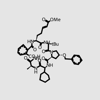 COC(=O)/C=C/CC[C@H](NC(=O)c1ccccc1C(=O)O)C(=O)N[C@H](C(=O)N1C[C@H](OCc2ccccc2)C[C@H]1C(=O)N[C@H](C(=O)N[C@@H](C)C(N)=O)C1CCCCC1)C(C)(C)C